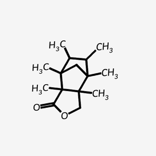 CC1C(C)C2(C)CC1(C)C1(C)COC(=O)C21C